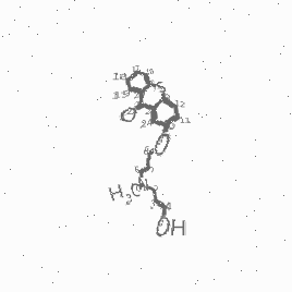 CN(CCCO)CCCOc1ccc2sc3ccccc3c(=O)c2c1